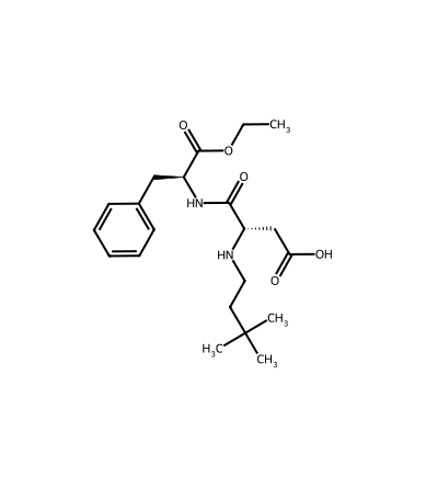 CCOC(=O)[C@H](Cc1ccccc1)NC(=O)[C@H](CC(=O)O)NCCC(C)(C)C